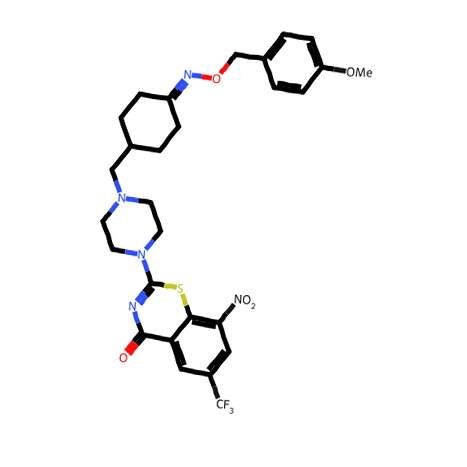 COc1ccc(CON=C2CCC(CN3CCN(c4nc(=O)c5cc(C(F)(F)F)cc([N+](=O)[O-])c5s4)CC3)CC2)cc1